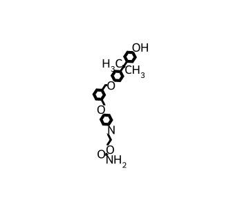 CC(C)(c1ccc(O)cc1)c1ccc(OCc2cccc(COc3ccc(N=CCCOC(N)=O)cc3)c2)cc1